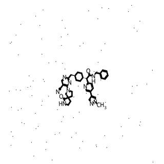 Cn1cc(-c2ccc(C(C(=O)NCc3ccccc3)[C@H]3CC[C@H](Cc4ncc(C#N)c(N5CCC6(CCNC6=O)C5)n4)CC3)nc2)cn1